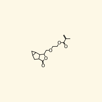 C=C(C)C(=O)OCCOCC1OC(=O)C2CC3CC3C12